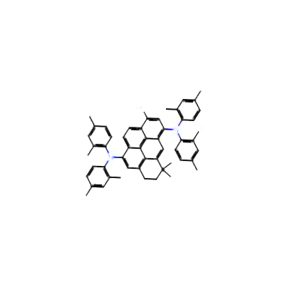 Cc1ccc(N(c2ccc(C)cc2C)c2cc(C(C)C)c3ccc4c(N(c5ccc(C)cc5C)c5ccc(C)cc5C)cc5c6c(cc2c3c46)C(C)(C)CC5)c(C)c1